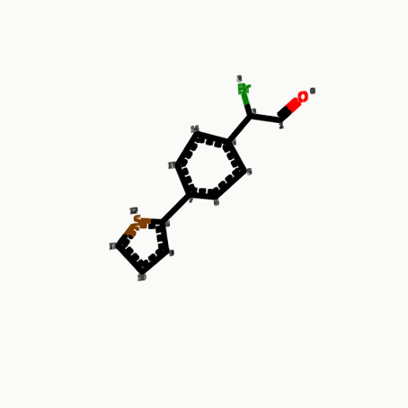 O=CC(Br)c1ccc(-c2cccs2)cc1